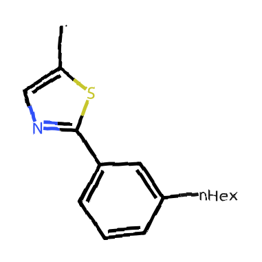 [CH2]c1cnc(-c2cccc(CCCCCC)c2)s1